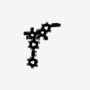 COc1ccc2c(c1)C(=O)N(C[C@]1(c3ccc(C#Cc4ccccn4)cc3)NC(=O)NC1=O)C2